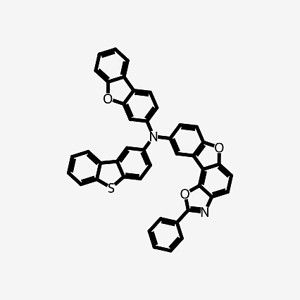 c1ccc(-c2nc3ccc4oc5ccc(N(c6ccc7c(c6)oc6ccccc67)c6ccc7sc8ccccc8c7c6)cc5c4c3o2)cc1